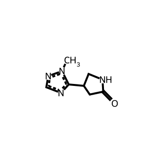 Cn1ncnc1C1CNC(=O)C1